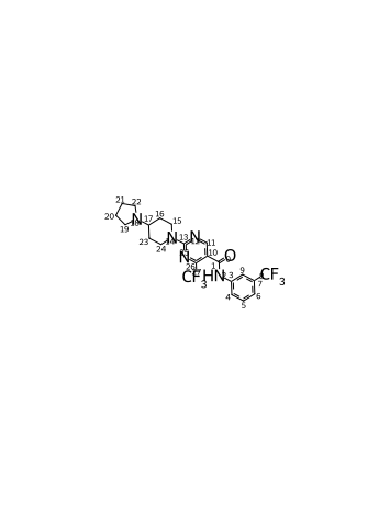 O=C(Nc1cccc(C(F)(F)F)c1)c1cnc(N2CCC(N3CCCC3)CC2)nc1C(F)(F)F